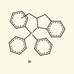 CCC1Cc2ccccc2N1[P+](c1ccccc1)(c1ccccc1)c1ccccc1.[Br-]